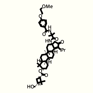 COCCOc1ccc(C(=O)NC(C)(C)C(=O)N[C@@]23CC[C@]4(C)[C@H](CC[C@@H]5[C@@]6(C)CC[C@H](OC(=O)[C@H]7C[C@@H](CO)C7(C)C)C(C)(C)[C@@H]6CC[C@]54C)C2=C(C(C)C)C(=O)C3)cc1